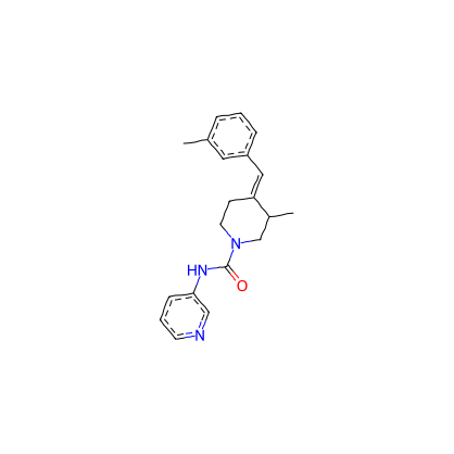 Cc1cccc(C=C2CCN(C(=O)Nc3cccnc3)CC2C)c1